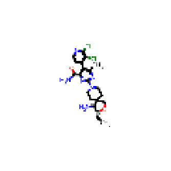 C=C[C@@H]1OCC2(CCN(c3nc(C)c(-c4ccnc(Cl)c4Cl)c(C(N)=O)n3)CC2)[C@@H]1N